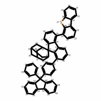 c1ccc(C2(c3ccc(-c4cccc5c4C4(c6cccc(-c7cccc8c7sc7ccccc78)c6-5)C5CC6CC(C5)CC4C6)cc3)c3ccccc3-c3ccccc32)cc1